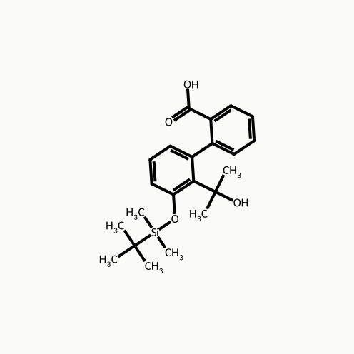 CC(C)(O)c1c(O[Si](C)(C)C(C)(C)C)cccc1-c1ccccc1C(=O)O